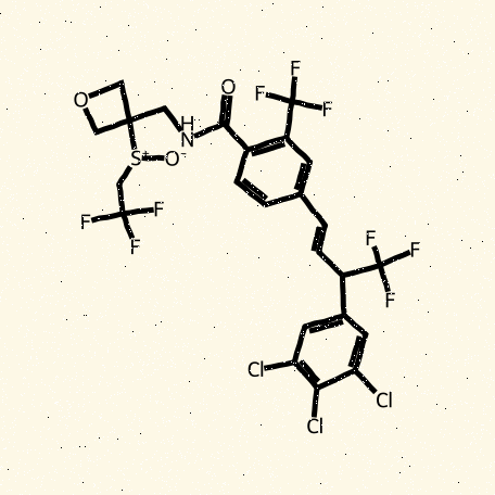 O=C(NCC1([S+]([O-])CC(F)(F)F)COC1)c1ccc(C=CC(c2cc(Cl)c(Cl)c(Cl)c2)C(F)(F)F)cc1C(F)(F)F